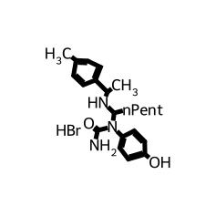 Br.CCCCCC(NC(C)c1ccc(C)cc1)N(C(N)=O)c1ccc(O)cc1